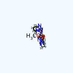 CC(OCC(=O)N1CC2CCC(C1)N2c1ccc(C#N)cn1)c1cccc2ncnn12